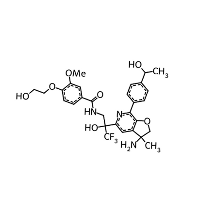 COc1cc(C(=O)NCC(O)(c2cc3c(c(-c4ccc(C(C)O)cc4)n2)OCC3(C)N)C(F)(F)F)ccc1OCCO